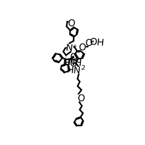 NC(=O)C(c1ccccc1)(c1ccccc1)[C@@H]1CC[N+](CCc2ccc3c(c2)CCO3)(Cc2cc(C(O)CNCCCCCCOCCCCc3ccccc3)ccc2OCOO)C1